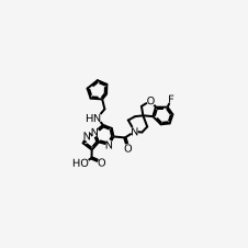 O=C(O)c1cnn2c(NCc3ccccc3)cc(C(=O)N3CCC4(CC3)COc3c(F)cccc34)nc12